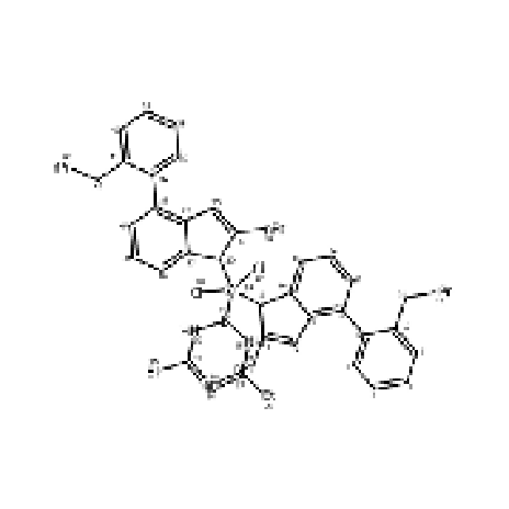 CCCC1=Cc2c(-c3ccccc3CC(C)C)cccc2[CH]1[Zr]([Cl])([Cl])([B](NC(=O)CC)NC(=O)CC)[CH]1C(CCC)=Cc2c(-c3ccccc3CC(C)C)cccc21